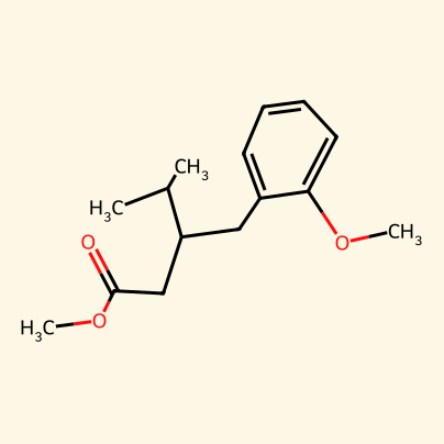 COC(=O)CC(Cc1ccccc1OC)C(C)C